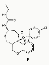 CCNC(=O)N[C@@H]1CCC2COc3c(F)ccc(F)c3[C@@]2(S(=O)(=O)c2ccc(Cl)cc2)CC1